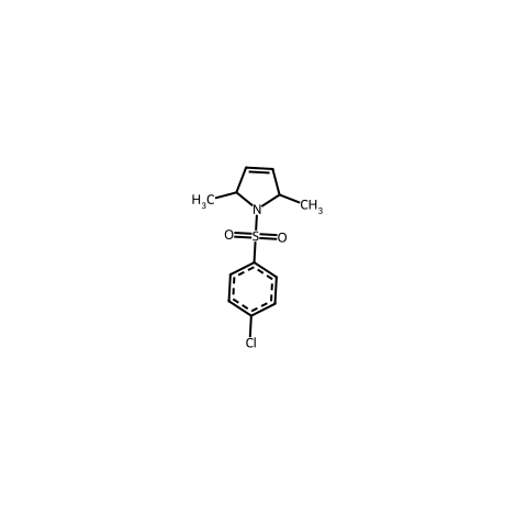 CC1C=CC(C)N1S(=O)(=O)c1ccc(Cl)cc1